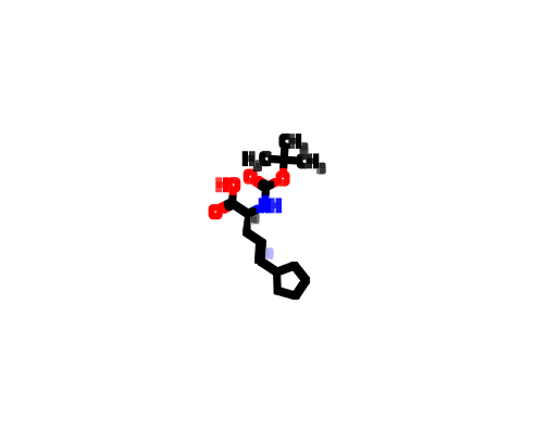 CC(C)(C)OC(=O)N[C@@H](C/C=C/C1CCCC1)C(=O)O